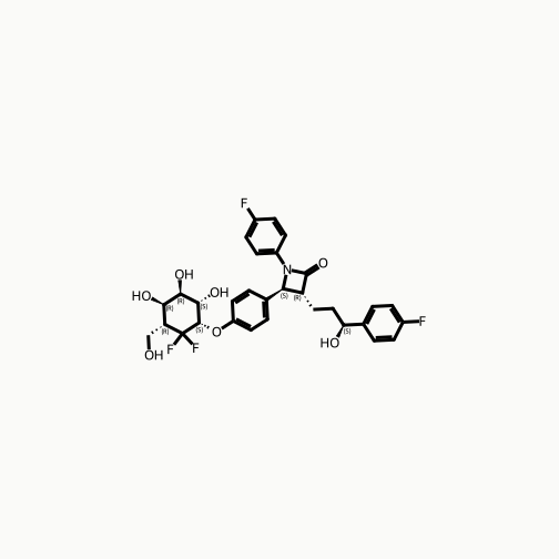 O=C1[C@H](CC[C@H](O)c2ccc(F)cc2)[C@@H](c2ccc(O[C@H]3[C@@H](O)[C@H](O)[C@H](O)[C@@H](CO)C3(F)F)cc2)N1c1ccc(F)cc1